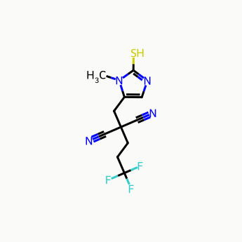 Cn1c(CC(C#N)(C#N)CCC(F)(F)F)cnc1S